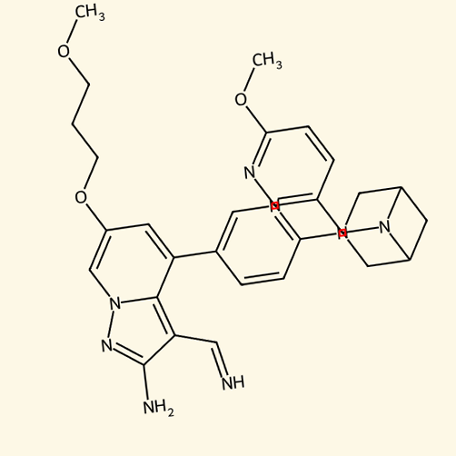 COCCCOc1cc(-c2ccc(N3CC4CC(C3)N4Cc3ccc(OC)nc3)nc2)c2c(C=N)c(N)nn2c1